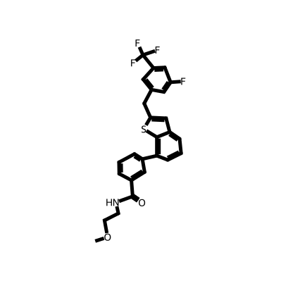 COCCNC(=O)c1cccc(-c2cccc3cc(Cc4cc(F)cc(C(F)(F)F)c4)sc23)c1